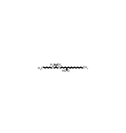 CCCCCCCCC=CCC(CCCCOCC(COCCCCCCC)N(C)C)C(=O)O